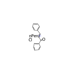 CCCCCCl.O=C(/C=C/c1ccccc1)c1ccccc1